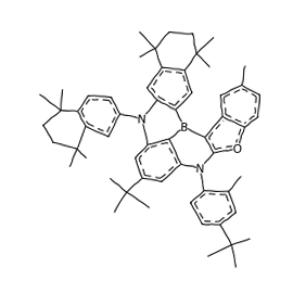 Cc1ccc2oc3c(c2c1)B1c2cc4c(cc2N(c2ccc5c(c2)C(C)(C)CCC5(C)C)c2cc(C(C)(C)C)cc(c21)N3c1ccc(C(C)(C)C)cc1C)C(C)(C)CCC4(C)C